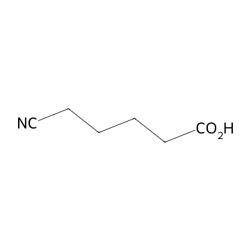 N#CCCCCC(=O)O